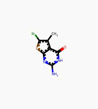 Cc1c(Br)sc2nc(N)[nH]c(=O)c12